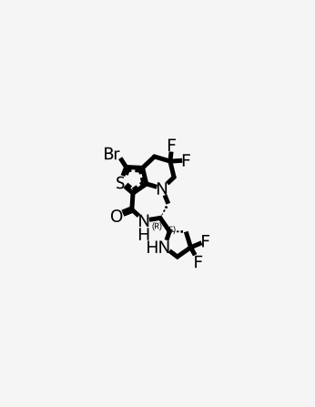 O=C1N[C@@H]([C@@H]2CC(F)(F)CN2)CN2CC(F)(F)Cc3c(Br)sc1c32